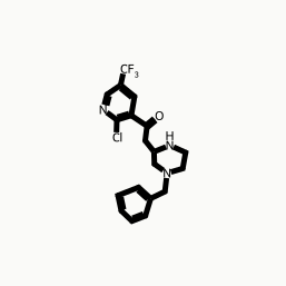 O=C(CC1CN(Cc2ccccc2)CCN1)c1cc(C(F)(F)F)cnc1Cl